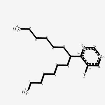 CCCCCCCC(CCCCCC)c1ncncc1F